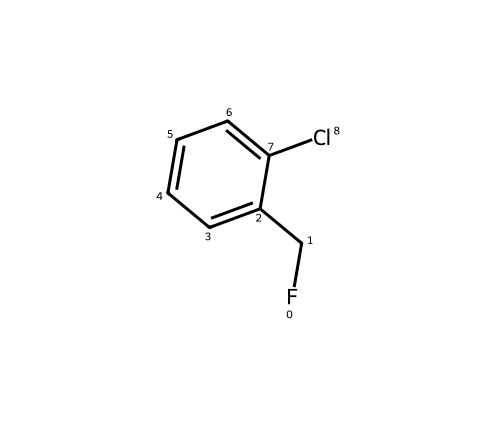 FCc1ccccc1Cl